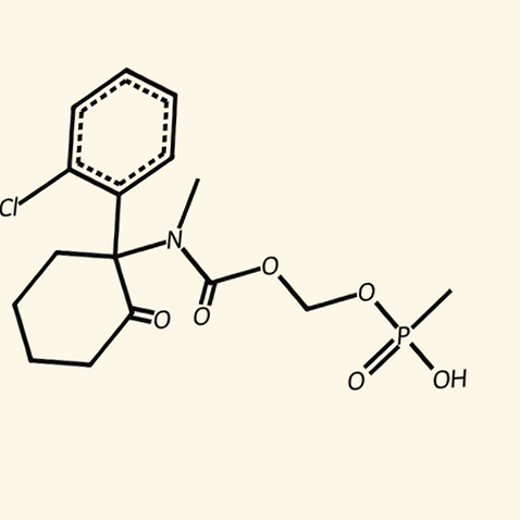 CN(C(=O)OCOP(C)(=O)O)C1(c2ccccc2Cl)CCCCC1=O